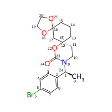 C[C@@H](c1ccc(Br)cc1)N1CC[C@]2(CCCC3(C2)OCCO3)OC1=O